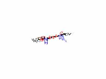 C#CCC(N)C(=O)NCCOCCOCCOCCNC(=O)OC(C)(C)C